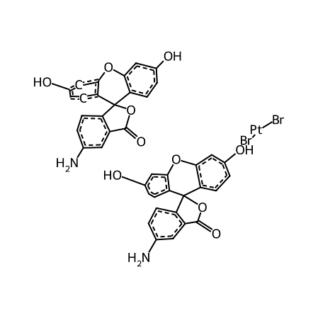 Nc1ccc2c(c1)C(=O)OC21c2ccc(O)cc2Oc2cc(O)ccc21.Nc1ccc2c(c1)C(=O)OC21c2ccc(O)cc2Oc2cc(O)ccc21.[Br][Pt][Br]